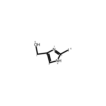 OCc1c[nH]c(I)n1